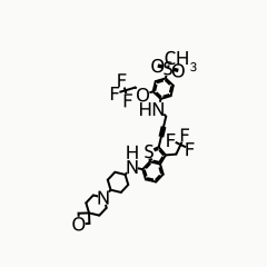 CS(=O)(=O)c1ccc(NCC#Cc2sc3c(NC4CCC(N5CCC6(CC5)COC6)CC4)cccc3c2CC(F)(F)F)c(OCC(F)(F)F)c1